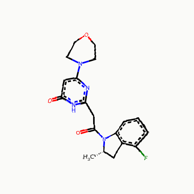 C[C@H]1Cc2c(F)cccc2N1C(=O)Cc1nc(N2CCOCC2)cc(=O)[nH]1